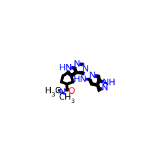 CN(C)C(=O)C1CCc2[nH]c3ncnc(Nc4cc5cn[nH]c5cn4)c3c2C1